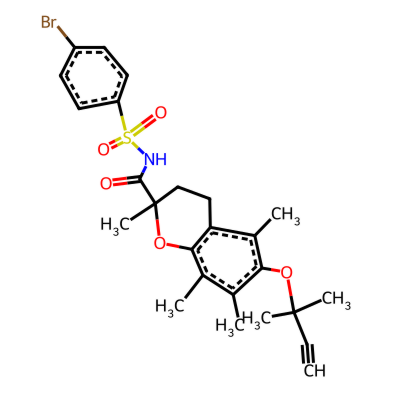 C#CC(C)(C)Oc1c(C)c(C)c2c(c1C)CCC(C)(C(=O)NS(=O)(=O)c1ccc(Br)cc1)O2